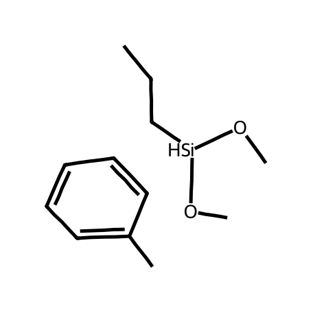 CCC[SiH](OC)OC.Cc1ccccc1